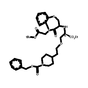 CCOC(=O)[C@@H](COCCC1CCN(C(=O)OCc2ccccc2)CC1)NC1CSc2ccccc2N(CC(=O)OC(C)(C)C)C1=O